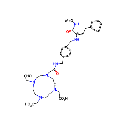 CONC(=O)[C@@H](CCc1ccccc1)NCc1ccc(CNC(=O)CN2CCN(CC=O)CCN(CC(=O)O)CCN(CC(=O)O)CC2)cc1